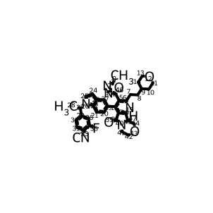 Cc1nnc(-c2c(CCC3CCOCC3)nc3c(c2-c2ccc4c(ccn4C(C)c4ccc(C#N)c(F)c4)c2)C(=O)N2CCOC[C@@H]32)o1